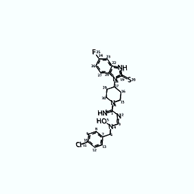 N=C(/N=C\N(O)Cc1ccc(Cl)cc1)N1CCC(n2c(=S)[nH]c3cc(F)ccc32)CC1